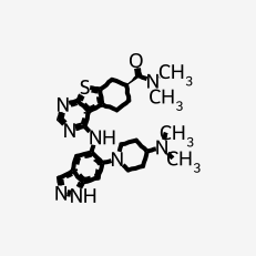 CN(C)C(=O)[C@H]1CCc2c(sc3ncnc(Nc4cc5cn[nH]c5cc4N4CCC(N(C)C)CC4)c23)C1